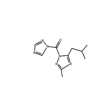 Cc1nc(CC(C)C)n(C(=O)n2cncn2)n1